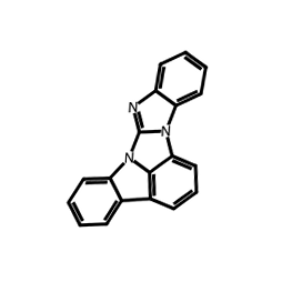 c1ccc2c(c1)nc1n2c2cccc3c4ccccc4n1c32